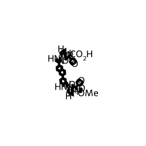 COC(=O)NC(C(=O)N1[C@@H]2C[C@@H]2C[C@H]1c1nc2cc(-c3ccc4cc(-c5c[nH]c([C@@H]6C[C@H]7C[C@H]7N6C(=O)C(NC(=O)O)C6CCOCC6)n5)ccc4c3)ccc2[nH]1)C1CCOCC1